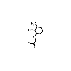 CC(C)C1C(C)CCCC1OCC(=O)Cl